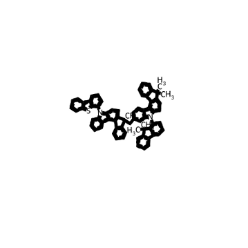 CC1(C)c2ccccc2-c2c1ccc1c2c2ccc(CC3(C)c4ccccc4-c4c3ccc3c4c4ccccc4n3-c3cccc4c3sc3ccccc34)cc2n1-c1cccc2c1C(C)(C)c1ccccc1-2